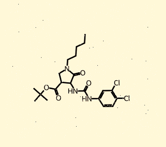 CCCCCN1CC(C(=O)OC(C)(C)C)C(NC(=O)Nc2ccc(Cl)c(Cl)c2)C1=O